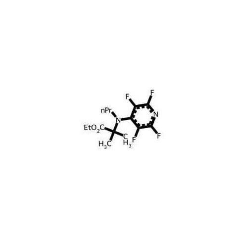 CCCN(c1c(F)c(F)nc(F)c1F)C(C)(C)C(=O)OCC